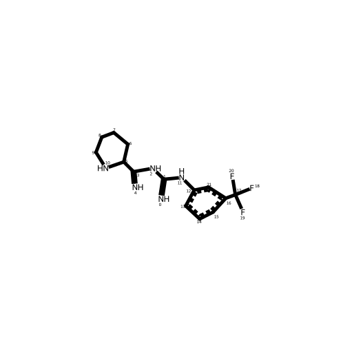 N=C(NC(=N)C1CCCCN1)Nc1cccc(C(F)(F)F)c1